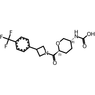 O=C(O)N[C@@H]1CC[C@@H](C(=O)N2CC(c3ccc(C(F)(F)F)cc3)C2)OC1